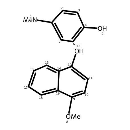 CNc1ccc(O)cc1.COc1ccc(O)c2ccccc12